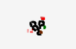 COc1ccc(CC2(c3cccs3)C=c3ccccc3=C(O)C2)c(F)c1